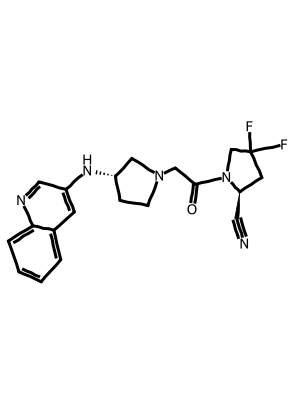 N#C[C@@H]1CC(F)(F)CN1C(=O)CN1CC[C@H](Nc2cnc3ccccc3c2)C1